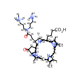 CCC1=C(C)c2cc3[nH]c(c(C)c3CC)c(CCCC(=O)O)c3nc(c4c5[nH]c(cc1n2)c(C)c5C(=O)C4)[C@@H](CCC(=O)N(CCC[N+](C)(C)C)CCC[N+](C)(C)C)[C@@H]3C